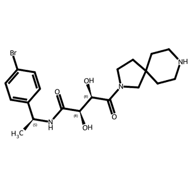 C[C@H](NC(=O)[C@H](O)[C@@H](O)C(=O)N1CCC2(CCNCC2)C1)c1ccc(Br)cc1